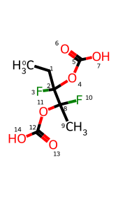 CCC(F)(OC(=O)O)C(C)(F)OC(=O)O